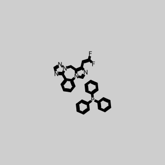 FC(F)=Cc1ncn2c1Cn1ncnc1-c1ccccc1-2.c1ccc(P(c2ccccc2)c2ccccc2)cc1